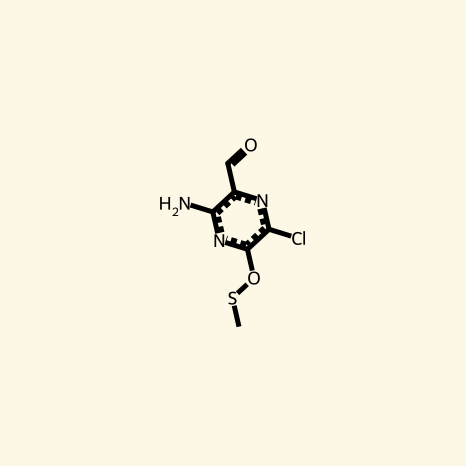 CSOc1nc(N)c(C=O)nc1Cl